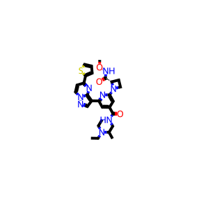 CCN(CC)C(C)CNC(=O)c1cc(-c2cnn3ccc(-c4cccs4)nc23)nc(N2CC[C@H]2C(=O)NOC)c1